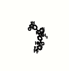 C[C@@H]1CC(=O)N2C[C@H](C3=C4C=NC=C[N+]4(N)C(c4ccc(C(=O)Nc5cc(C(F)(F)F)ccn5)cc4)=N3)CC[C@@H]12